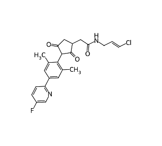 Cc1cc(-c2ccc(F)cn2)cc(C)c1C1C(=O)CC(CC(=O)NC/C=C/Cl)C1=O